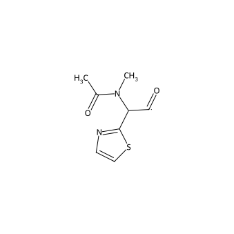 CC(=O)N(C)C([C]=O)c1nccs1